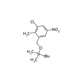 Cc1c(Cl)cc([N+](=O)[O-])cc1CO[Si](C)(C)C(C)(C)C